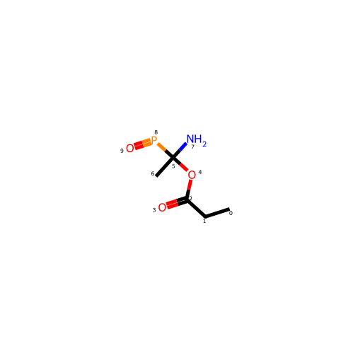 CCC(=O)OC(C)(N)P=O